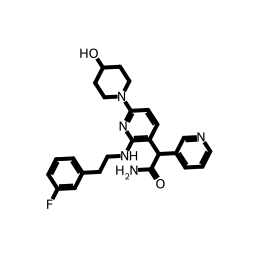 NC(=O)C(c1cccnc1)c1ccc(N2CCC(O)CC2)nc1NCCc1cccc(F)c1